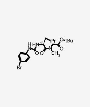 CC(C)C[C@H](NC(=O)Nc1ccc(Br)cc1)C(=O)N(C)CC(=O)OC(C)(C)C